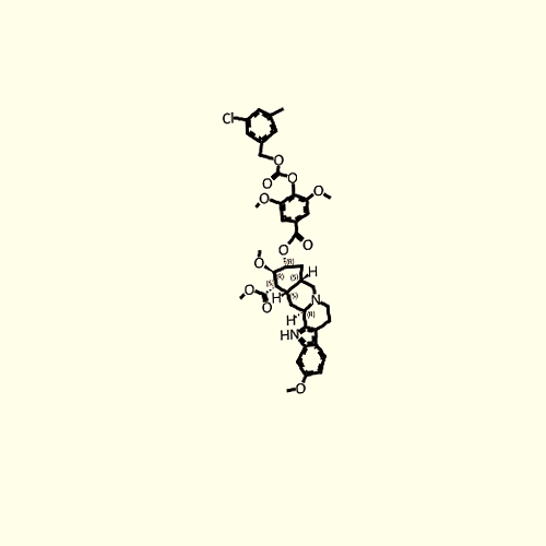 COC(=O)[C@H]1[C@H]2C[C@@H]3c4[nH]c5cc(OC)ccc5c4CCN3C[C@H]2C[C@@H](OC(=O)c2cc(OC)c(OC(=O)OCc3cc(C)cc(Cl)c3)c(OC)c2)[C@@H]1OC